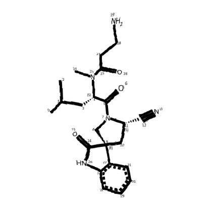 CC(C)C[C@@H](C(=O)N1C[C@]2(C[C@H]1C#N)C(=O)Nc1ccccc12)N(C)C(=O)CCN